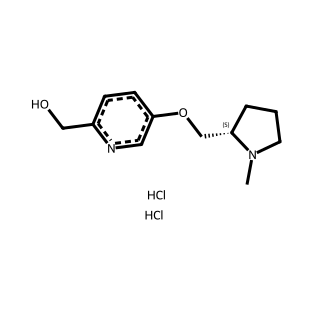 CN1CCC[C@H]1COc1ccc(CO)nc1.Cl.Cl